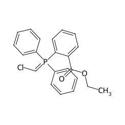 CCOC(=O)c1ccccc1P(=CCl)(c1ccccc1)c1ccccc1